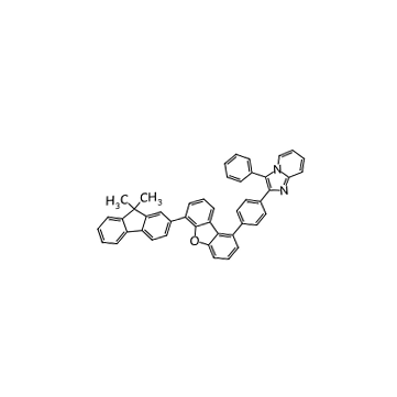 CC1(C)c2ccccc2-c2ccc(-c3cccc4c3oc3cccc(-c5ccc(-c6nc7ccccn7c6-c6ccccc6)cc5)c34)cc21